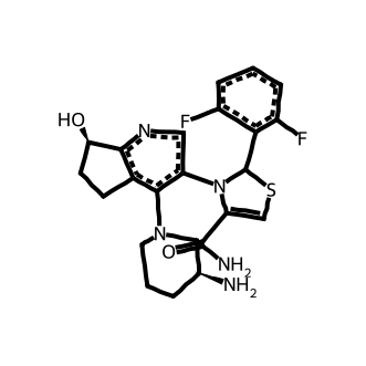 NC(=O)C1=CSC(c2c(F)cccc2F)N1c1cnc2c(c1N1CCC[C@H](N)C1)CC[C@H]2O